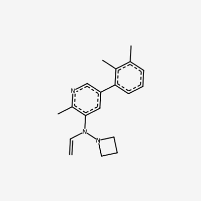 C=CN(c1cc(-c2cccc(C)c2C)cnc1C)N1CCC1